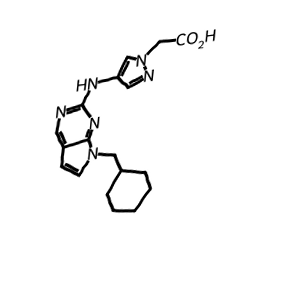 O=C(O)Cn1cc(Nc2ncc3ccn(CC4CCCCC4)c3n2)cn1